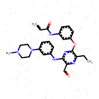 C=CC(=O)Nc1cccc(Oc2nc(Nc3cccc(N4CCN(C)CC4)c3)c(C=O)nc2CC)c1